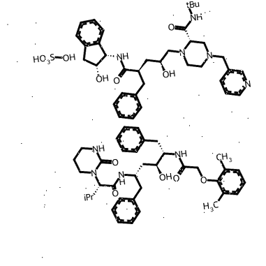 CC(C)(C)NC(=O)[C@@H]1CN(Cc2cccnc2)CCN1C[C@@H](O)C[C@@H](Cc1ccccc1)C(=O)N[C@H]1c2ccccc2C[C@H]1O.Cc1cccc(C)c1OCC(=O)N[C@@H](Cc1ccccc1)[C@@H](O)C[C@H](Cc1ccccc1)NC(=O)[C@H](C(C)C)N1CCCNC1=O.O=S(=O)(O)O